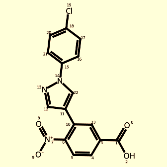 O=C(O)c1ccc([N+](=O)[O-])c(-c2cnn(-c3ccc(Cl)cc3)c2)c1